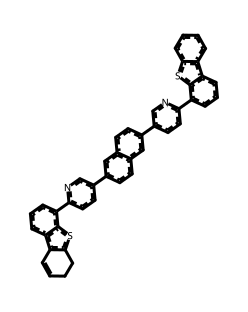 C1=Cc2c(sc3c(-c4ccc(-c5ccc6cc(-c7ccc(-c8cccc9c8sc8ccccc89)nc7)ccc6c5)cn4)cccc23)CC1